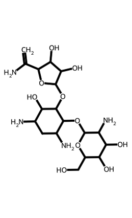 C=C(N)C1OC(OC2C(O)C(N)CC(N)C2OC2OC(CO)C(O)C(O)C2N)C(O)C1O